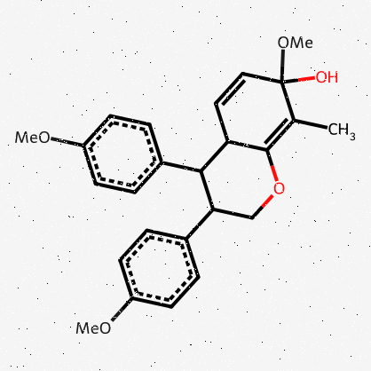 COc1ccc(C2COC3=C(C)C(O)(OC)C=CC3C2c2ccc(OC)cc2)cc1